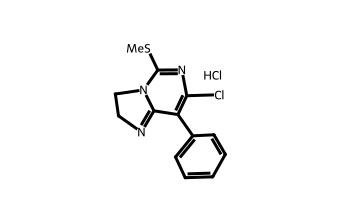 CSC1=NC(Cl)=C(c2ccccc2)C2=NCCN12.Cl